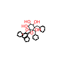 OC1C(O)C(O)(Cc2ccccc2)C(Cc2ccccc2)(OCc2ccccc2)C(Cc2ccccc2)(OCc2ccccc2)C1O